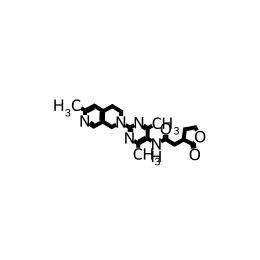 Cc1cc2c(cn1)CN(c1nc(C)c(NC(=O)CC3CCOC3=O)c(C)n1)CC2